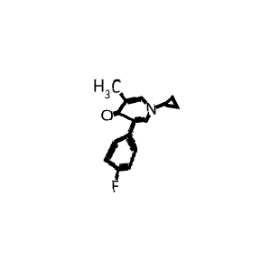 Cc1cn(C2CC2)cc(-c2ccc(F)cc2)c1=O